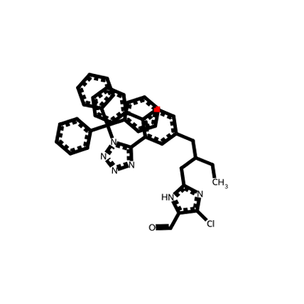 CCC(Cc1ccc(-c2ccccc2)c(-c2nnnn2C(c2ccccc2)(c2ccccc2)c2ccccc2)c1)Cc1nc(Cl)c(C=O)[nH]1